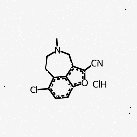 CN1CCc2c(Cl)ccc3oc(C#N)c(c23)C1.Cl